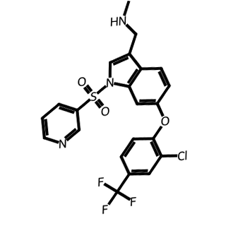 CNCc1cn(S(=O)(=O)c2cccnc2)c2cc(Oc3ccc(C(F)(F)F)cc3Cl)ccc12